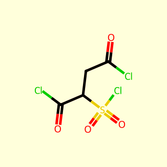 O=C(Cl)CC(C(=O)Cl)S(=O)(=O)Cl